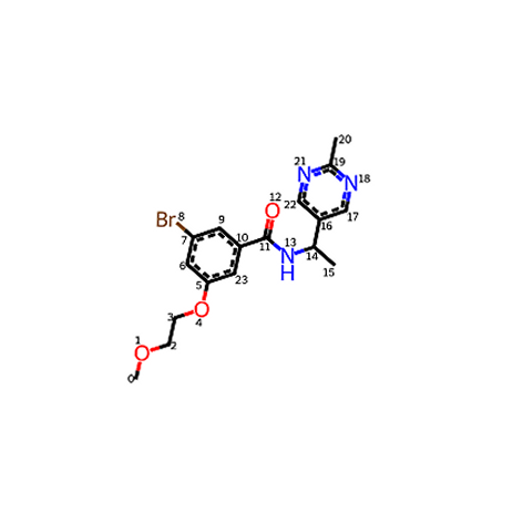 COCCOc1cc(Br)cc(C(=O)NC(C)c2cnc(C)nc2)c1